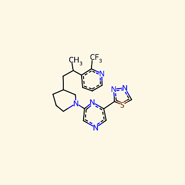 CC(CC1CCCN(c2cncc(-c3nncs3)n2)C1)c1cccnc1C(F)(F)F